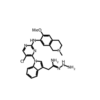 COc1cc2c(cc1Nc1ncc(Cl)c(-n3cc(C/C(N)=N/NN)c4ccccc43)n1)CN(C)CC2